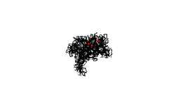 Cc1cc2c3c(c1)N(c1cc(C(C)(C)C)cc(C(C)(C)C)c1-c1ccccc1)c1sc4ccc(C(C)(C)C)cc4c1B3c1cc3c(cc1N2c1ccc(C(C)(C)C)cc1)C(C)(C)CCC3(C)C